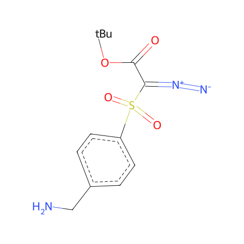 CC(C)(C)OC(=O)C(=[N+]=[N-])S(=O)(=O)c1ccc(CN)cc1